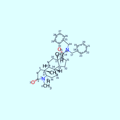 CN1C(=O)CC[C@]2(C)[C@H]3CC[C@]4(C)[C@@H](C(=O)N(Cc5ccccc5)Cc5ccccc5)CC[C@H]4[C@@H]3CC[C@@H]12